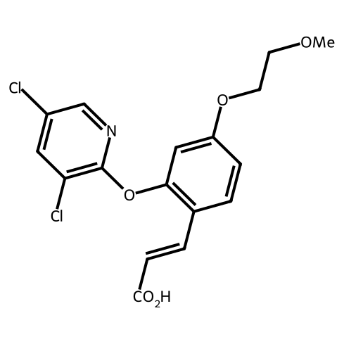 COCCOc1ccc(C=CC(=O)O)c(Oc2ncc(Cl)cc2Cl)c1